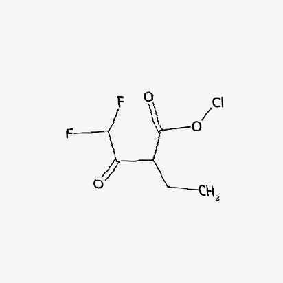 CCC(C(=O)OCl)C(=O)C(F)F